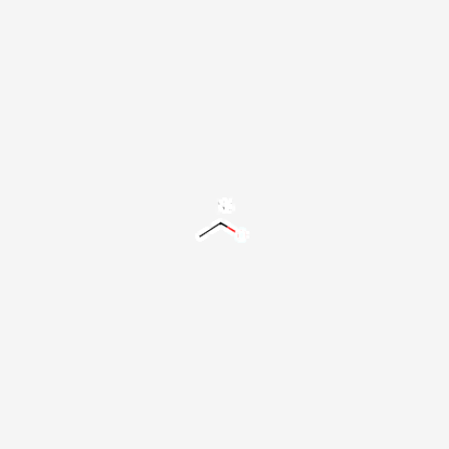 CC[O].[Nd]